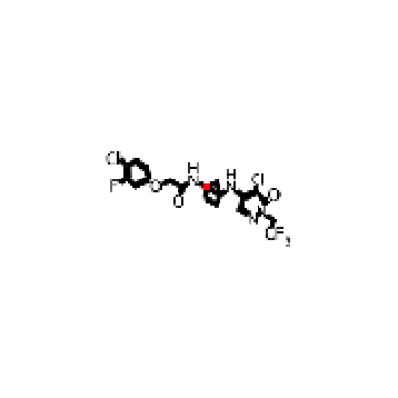 O=C(COc1ccc(Cl)c(F)c1)NC1CC2(Nc3cnn(CC(F)(F)F)c(=O)c3Cl)CC1C2